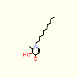 CCCCCCCCCCn1ccc(=O)c(O)c1C